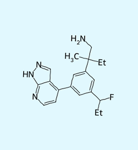 CCC(F)c1cc(-c2ccnc3[nH]ncc23)cc(C(C)(CC)CN)c1